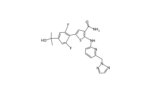 CC(C)(O)c1cc(F)c(-c2cc(C(N)=O)c(Nc3cccc(Cn4nccn4)n3)s2)c(F)c1